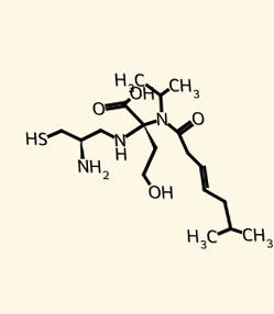 CC(C)C/C=C/CC(=O)N(C(C)C)[C@](CCO)(NC[C@@H](N)CS)C(=O)O